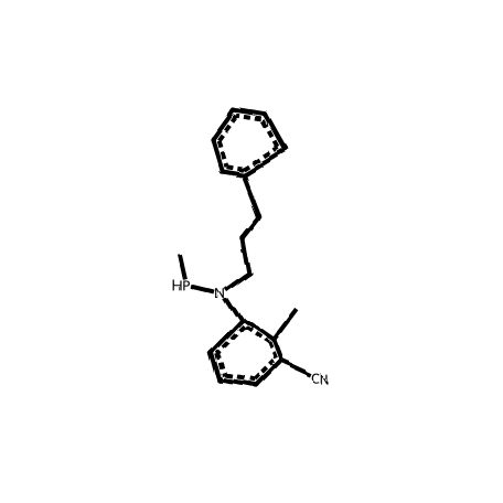 CPN(CCCc1ccccc1)c1cccc(C#N)c1C